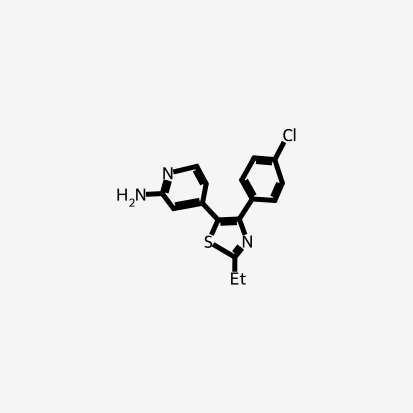 CCc1nc(-c2ccc(Cl)cc2)c(-c2ccnc(N)c2)s1